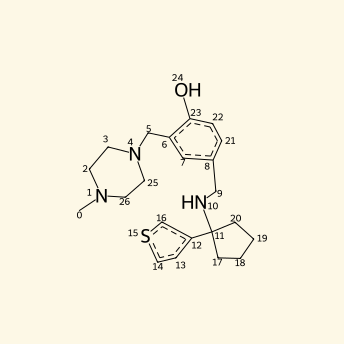 CN1CCN(Cc2cc(CNC3(c4ccsc4)CCCC3)ccc2O)CC1